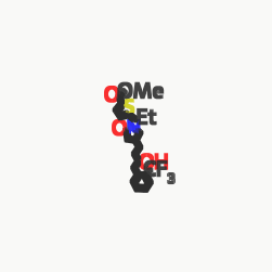 CCC(c1ccc(C(=O)OC)s1)N1CC(CCC(O)Cc2ccccc2C(F)(F)F)CC1=O